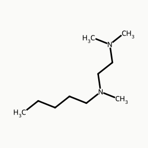 CCCCCN(C)CCN(C)C